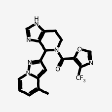 Cc1cccn2nc(C3c4nc[nH]c4CCN3C(=O)c3ocnc3C(F)(F)F)cc12